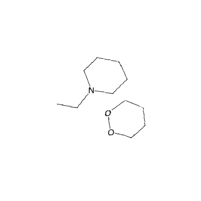 C1CCOOC1.CCN1CCCCC1